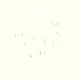 CN1C(=O)NC=CC1N.Nc1nc(N)c2[nH]cnc2n1